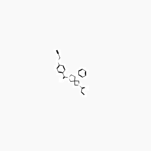 C#CCOc1ccc(C(=O)N2C[C@H](c3ccccc3)C3(CN(C(=O)C=C)C3)C2)cc1